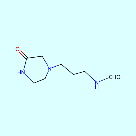 O=CNCCCN1CCNC(=O)C1